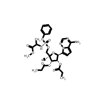 CCC(=O)O[C@H]1[C@H](c2ccc3c(N)ncnn23)O[C@](C#N)(CO[P@@](=O)(NC(C)C(=O)OC)Oc2ccccc2)[C@H]1OC(=O)CC